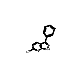 Clc1ccc2c(-c3ccccc3)n[nH]c2n1